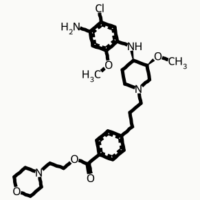 COc1cc(N)c(Cl)cc1N[C@@H]1CCN(CCCc2ccc(C(=O)OCCN3CCOCC3)cc2)C[C@@H]1OC